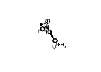 CN(C)c1ccc(C#Cc2ccc(C(F)(F)C(O)(Cn3cnnn3)c3ccc(F)cc3F)nc2)cc1